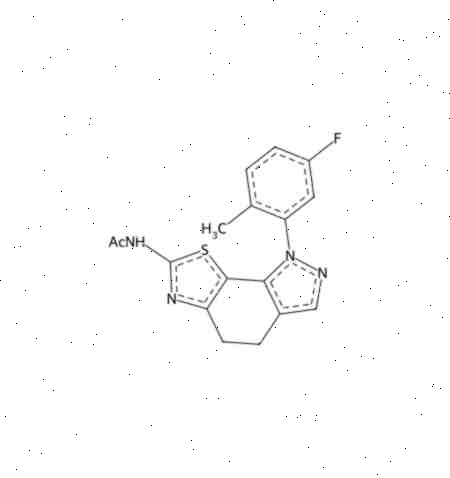 CC(=O)Nc1nc2c(s1)-c1c(cnn1-c1cc(F)ccc1C)CC2